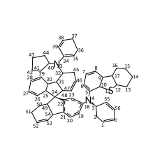 C1=CC[C@@H](N(C2=CC=CC3C2SC2CCCCC23)c2ccc3c(c2)[C@]2(C4C=CC=CC4C4C(N(C5=CCCC=C5)C5CCCC5)CC=CC42)C2CCC=CC32)C=C1